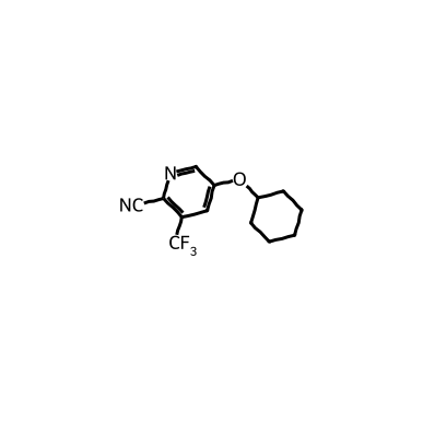 N#Cc1ncc(OC2CCCCC2)cc1C(F)(F)F